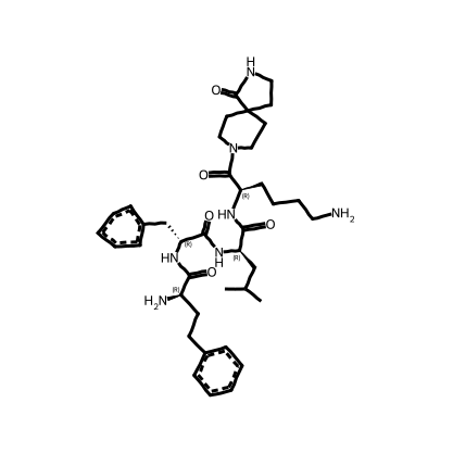 CC(C)C[C@@H](NC(=O)[C@@H](Cc1ccccc1)NC(=O)[C@H](N)CCc1ccccc1)C(=O)N[C@H](CCCCN)C(=O)N1CCC2(CCNC2=O)CC1